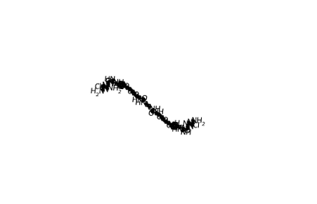 N=C(NCc1ccc(OCCOCCOCCNC(=O)NCCCCNC(=O)NCCOCCOCCOc2ccc(CNC(=N)NC(=O)c3nc(Cl)c(N)nc3N)cc2)cc1)NC(=O)c1nc(Cl)c(N)nc1N